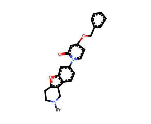 CC(C)N1CCc2oc3cc(-n4ccc(OCc5ccccc5)cc4=O)ccc3c2C1